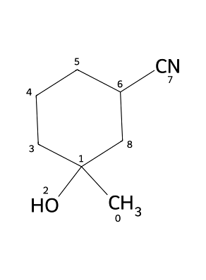 CC1(O)CCCC(C#N)C1